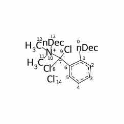 CCCCCCCCCCc1ccccc1C(Cl)(Cl)[N+](C)(C)CCCCCCCCCC.[Cl-]